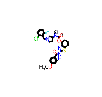 COc1ccc(C(=O)Nc2nc3c(s2)CCCC3OC(=O)N(C)C2CCN(Cc3c(F)cccc3Cl)C2)cc1